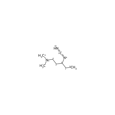 CCC(CCN(C)C)N=C=N